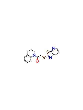 O=C(CSc1nc2cccnc2s1)N1CCCc2ccccc21